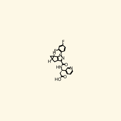 O=C(O)C[C@@H](NC(=O)c1nn(-c2ccc(F)cc2F)c2c1C[C@@H]1C[C@H]21)c1cccnc1